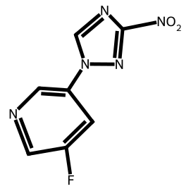 O=[N+]([O-])c1ncn(-c2cncc(F)c2)n1